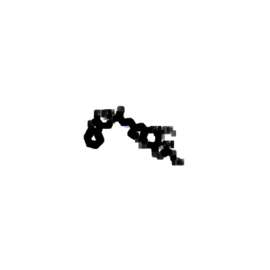 Cc1oc2ccccc2c1CN(C)C(=O)/C=C/c1cnc2c(c1)N[C@H](C)[C@H](NC(=O)OC(C)(C)C)C(=O)N2